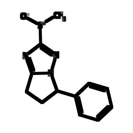 [O-][S+](c1nc2n(n1)C(c1ccccc1)CC2)C(F)(F)F